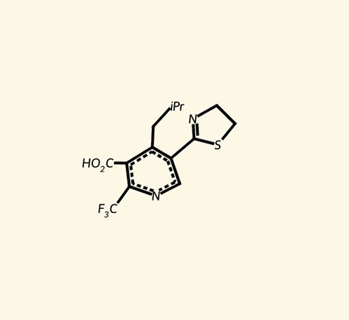 CC(C)Cc1c(C2=NCCS2)cnc(C(F)(F)F)c1C(=O)O